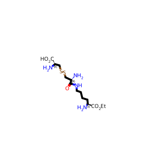 CCOC(=O)[C@@H](N)CCCCNC(=O)[C@@H](N)CSSC[C@H](N)C(=O)O